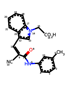 Cc1cccc(NC(=O)C(C#N)=Cc2cn(CC(=O)O)c3ccccc23)c1